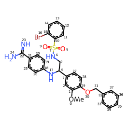 COc1cc(C(CNS(=O)(=O)c2ccccc2Br)Nc2ccc(C(=N)N)cc2)ccc1OCc1ccccc1